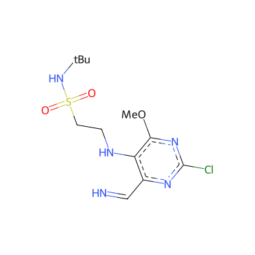 COc1nc(Cl)nc(C=N)c1NCCS(=O)(=O)NC(C)(C)C